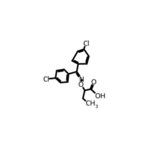 CCC(ON=C(c1ccc(Cl)cc1)c1ccc(Cl)cc1)C(=O)O